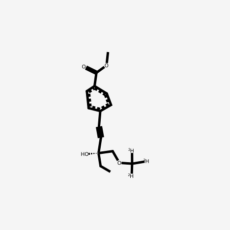 [2H]C([2H])([2H])OC[C@](O)(C#Cc1ccc(C(=O)OC)cc1)CC